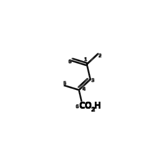 C=C(C)/C=C(\C)C(=O)O